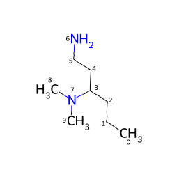 CCCC(CCN)N(C)C